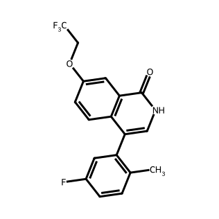 Cc1ccc(F)cc1-c1c[nH]c(=O)c2cc(OCC(F)(F)F)ccc12